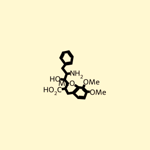 COc1ccc(CC(CC(O)C(N)Cc2ccccc2)C(=O)O)c(OC)c1OC